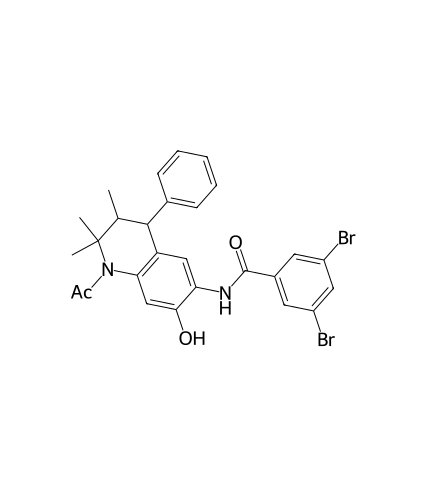 CC(=O)N1c2cc(O)c(NC(=O)c3cc(Br)cc(Br)c3)cc2C(c2ccccc2)C(C)C1(C)C